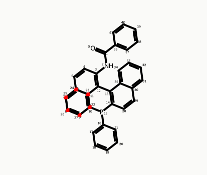 O=C(Nc1ccc2ccccc2c1-c1c(P(c2ccccc2)c2ccccc2)ccc2ccccc12)c1ccccc1